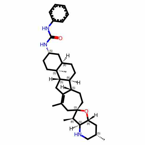 CC1=C2C[C@H]3[C@@H](CC[C@@H]4C[C@@H](NC(=O)Nc5ccccc5)CC[C@@]43C)[C@@H]2CC[C@@]2(C1)O[C@@H]1C[C@H](C)CN[C@H]1[C@H]2C